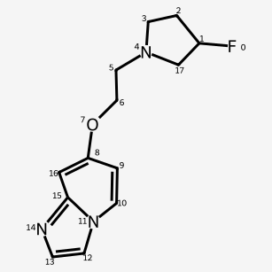 FC1CCN(CCOc2ccn3ccnc3c2)C1